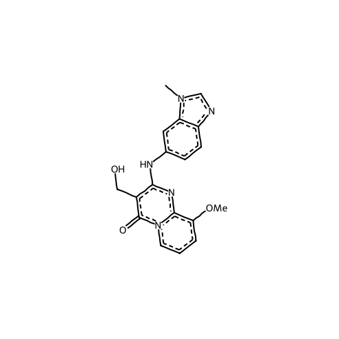 COc1cccn2c(=O)c(CO)c(Nc3ccc4ncn(C)c4c3)nc12